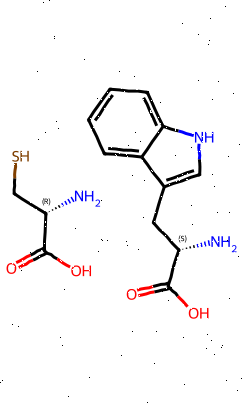 N[C@@H](CS)C(=O)O.N[C@@H](Cc1c[nH]c2ccccc12)C(=O)O